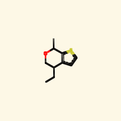 CCC1COC(C)c2sccc21